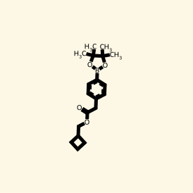 CC1(C)OB(c2ccc(CC(=O)OCC3CCC3)cc2)OC1(C)C